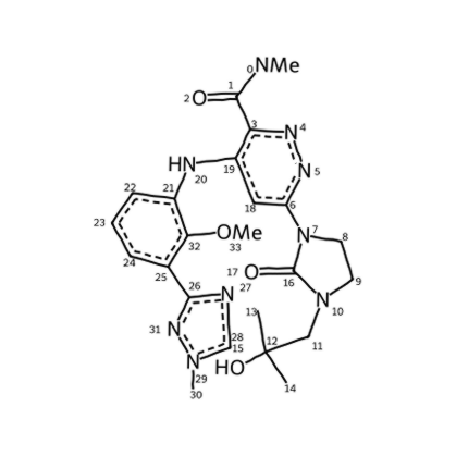 CNC(=O)c1nnc(N2CCN(CC(C)(C)O)C2=O)cc1Nc1cccc(-c2ncn(C)n2)c1OC